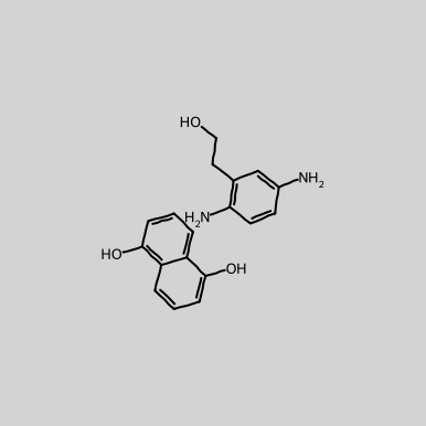 Nc1ccc(N)c(CCO)c1.Oc1cccc2c(O)cccc12